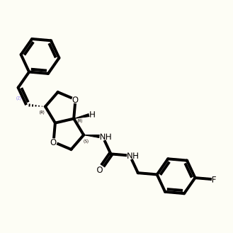 O=C(NCc1ccc(F)cc1)N[C@H]1COC2[C@H](/C=C\c3ccccc3)CO[C@@H]21